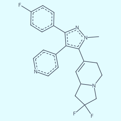 Cn1nc(-c2ccc(F)cc2)c(-c2ccncc2)c1C1=CC2CC(F)(F)CN2CC1